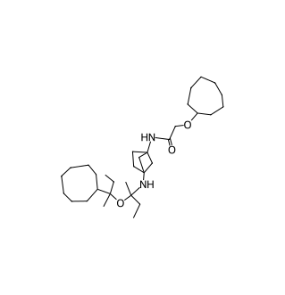 CCC(C)(NC12CCC(NC(=O)COC3CCCCCCC3)(C1)C2)OC(C)(CC)C1CCCCCCC1